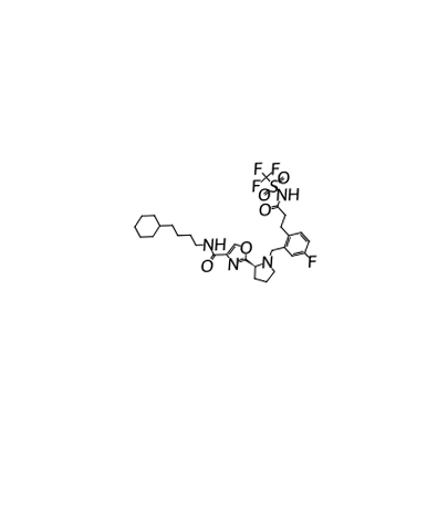 O=C(CCc1ccc(F)cc1CN1CCC[C@H]1c1nc(C(=O)NCCCCC2CCCCC2)co1)NS(=O)(=O)C(F)(F)F